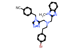 Cn1c(CN(CCc2ccc(Br)cc2)Cc2nncn2Cc2ccc(C#N)cc2)nc2ccccc21